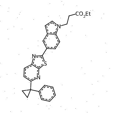 CCOC(=O)CCn1ccc2cc(-c3nc4ccc(C5(c6ccccc6)CC5)nc4s3)ccc21